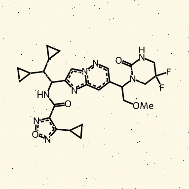 COCC(c1cnn2cc(C(NC(=O)c3nonc3C3CC3)C(C3CC3)C3CC3)nc2c1)N1CC(F)(F)CNC1=O